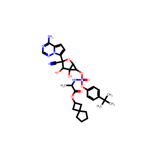 CC(NP(=O)(Oc1ccc(C(C)(C)C)cc1)OC1C2OC(C#N)(c3ccc4c(N)ncnn34)C(O)C21O)C(=O)OC1CC2(CCCC2)C1